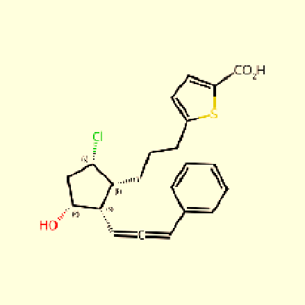 O=C(O)c1ccc(CCC[C@@H]2[C@H](C=C=Cc3ccccc3)[C@H](O)C[C@@H]2Cl)s1